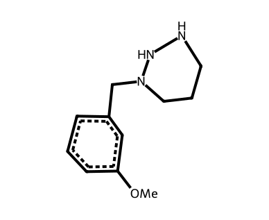 COc1cccc(CN2CCCNN2)c1